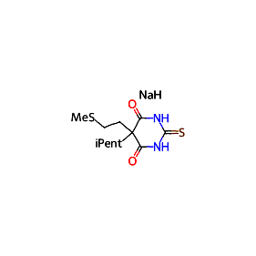 CCCC(C)C1(CCSC)C(=O)NC(=S)NC1=O.[NaH]